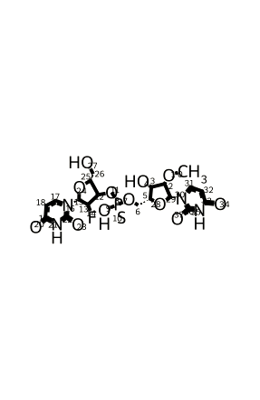 COC1C(O)[C@@H](COP(O)(=S)OC2C(F)[C@H](n3ccc(=O)[nH]c3=O)O[C@@H]2CO)O[C@H]1n1ccc(=O)[nH]c1=O